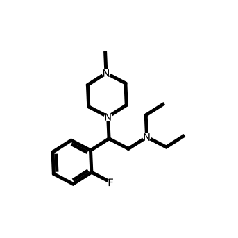 CCN(CC)CC(c1ccccc1F)N1CCN(C)CC1